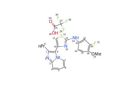 CCCc1nc2ccccn2c1-c1csc(Nc2ccc(OC)c(F)c2)n1.O=C(O)C(F)(F)F